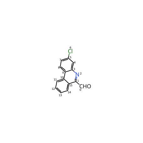 O=Cc1nc2cc(Cl)ccc2c2ccccc12